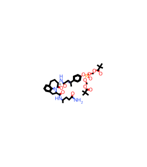 C/C(=C\C(=O)N[C@H]1CCc2cccc3c2N(C1=O)C(C(=O)NC(C)CCC(N)=O)C3)c1ccc(OP(=O)(OCOC(=O)C(C)(C)C)OCOC(=O)C(C)(C)C)cc1